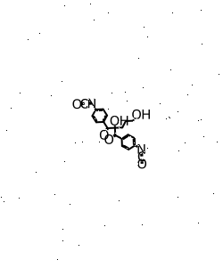 O=C=Nc1ccc(C(=O)C(O)(CCCO)C(=O)c2ccc(N=C=O)cc2)cc1